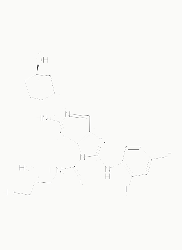 O=C(NC[C@@H](O)CO)n1c(Nc2ccc(F)cc2F)nc2cnc(N[C@H]3CC[C@H](O)CC3)nc21